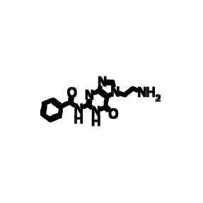 NCCn1cnc2nc(NC(=O)c3ccccc3)[nH]c(=O)c21